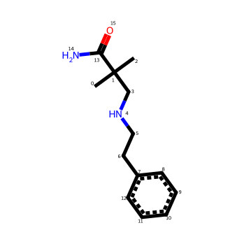 CC(C)(CN[CH]Cc1ccccc1)C(N)=O